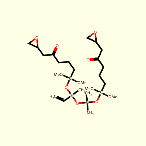 C=C[Si](C)(O[Si](C)(C)O[Si](CCCC(=O)CC1CO1)(OC)OC)O[Si](CCCC(=O)CC1CO1)(OC)OC